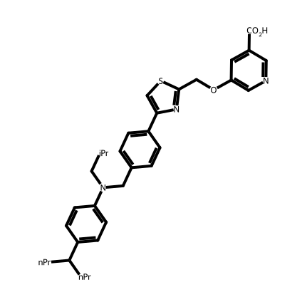 CCCC(CCC)c1ccc(N(Cc2ccc(-c3csc(COc4cncc(C(=O)O)c4)n3)cc2)CC(C)C)cc1